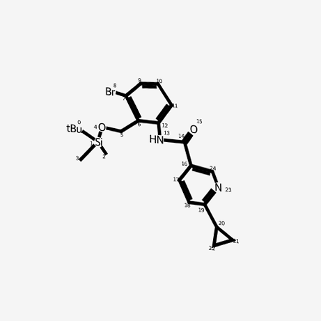 CC(C)(C)[Si](C)(C)OCc1c(Br)cccc1NC(=O)c1ccc(C2CC2)nc1